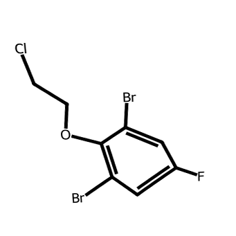 Fc1cc(Br)c(OCCCl)c(Br)c1